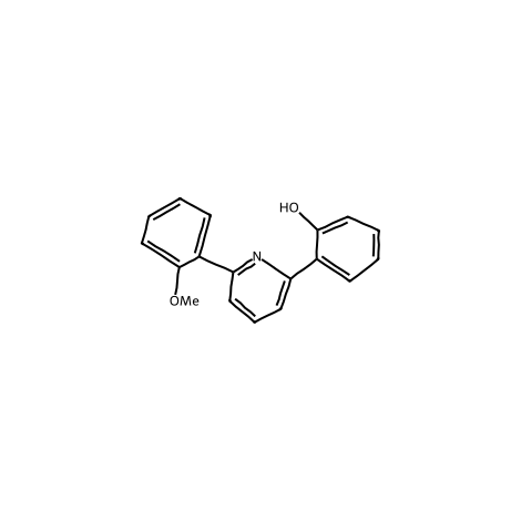 COc1ccccc1-c1cccc(-c2ccccc2O)n1